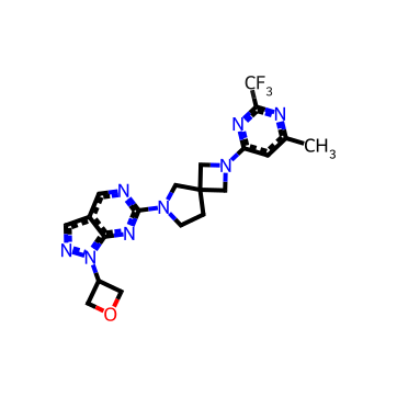 Cc1cc(N2CC3(CCN(c4ncc5cnn(C6COC6)c5n4)C3)C2)nc(C(F)(F)F)n1